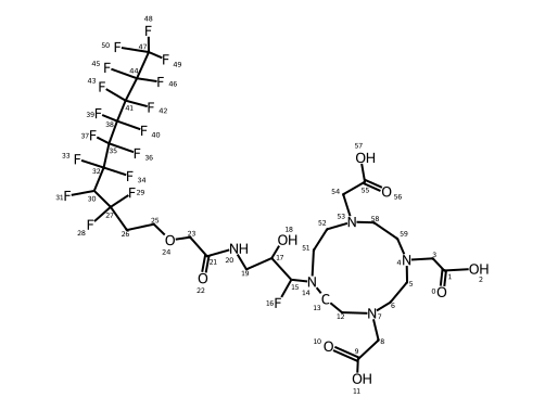 O=C(O)CN1CCN(CC(=O)O)CCN(C(F)C(O)CNC(=O)COCCC(F)(F)C(F)C(F)(F)C(F)(F)C(F)(F)C(F)(F)C(F)(F)C(F)(F)F)CCN(CC(=O)O)CC1